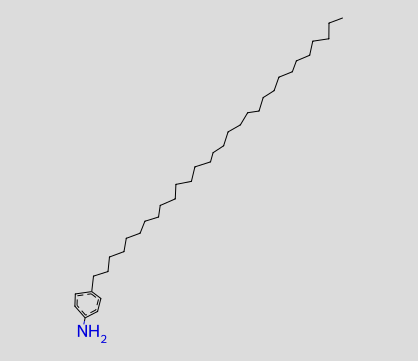 CCCCCCCCCCCCCCCCCCCCCCCCCCCCCCc1ccc(N)cc1